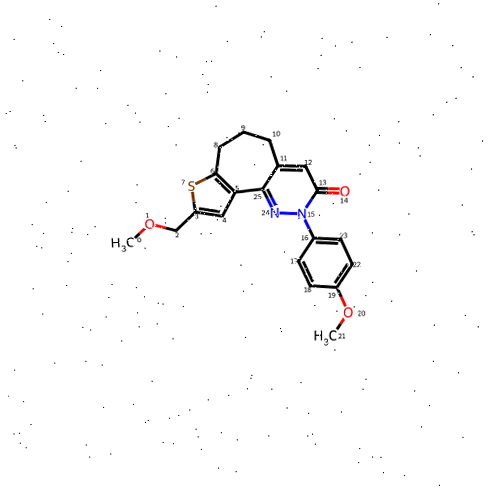 COCc1cc2c(s1)CCCc1cc(=O)n(-c3ccc(OC)cc3)nc1-2